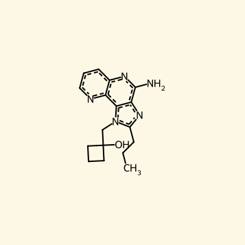 CCCc1nc2c(N)nc3cccnc3c2n1CC1(O)CCC1